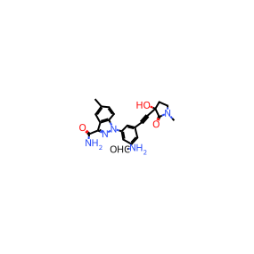 Cc1ccc2c(c1)c(C(N)=O)nn2-c1cccc(C#CC2(O)CCN(C)C2=O)c1.NC=O